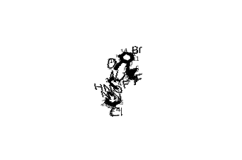 O=C(CN1C[C@]2(CC2(F)F)c2cc(Br)ccc2C1=O)Nc1ncc(Cl)cn1